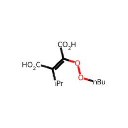 CCCCOOC(C(=O)O)=C(C(=O)O)C(C)C